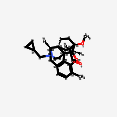 CO[C@]12CC[C@@]3(C[C@@H]1C=O)[C@H]1Cc4ccc(C)c5c4[C@@]3(CCN1CC1CC1)[C@H]2O5